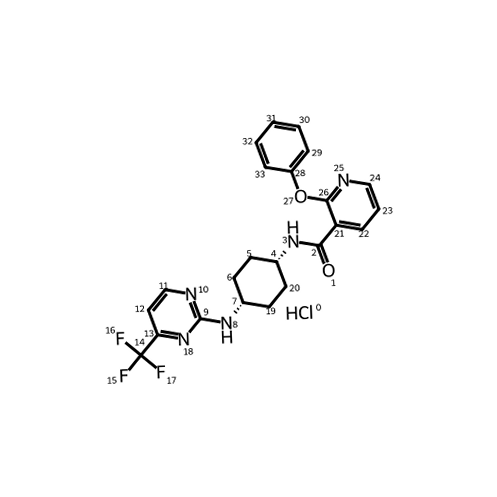 Cl.O=C(N[C@H]1CC[C@@H](Nc2nccc(C(F)(F)F)n2)CC1)c1cccnc1Oc1ccccc1